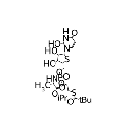 CC(C)OC(=O)[C@H](C)NP(=O)(OCCSC(=O)C(C)(C)C)OC[C@H]1S[C@@H](N2C=CC(=O)NC2O)[C@H](O)[C@@H]1O